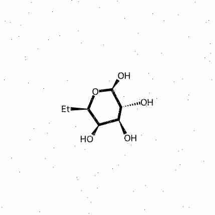 CC[C@H]1O[C@@H](O)[C@H](O)[C@@H](O)[C@H]1O